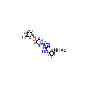 CC(=O)Nc1cccc(Nc2ncnc(N3CCC(OCc4cccc(Cl)c4)CC3)n2)c1